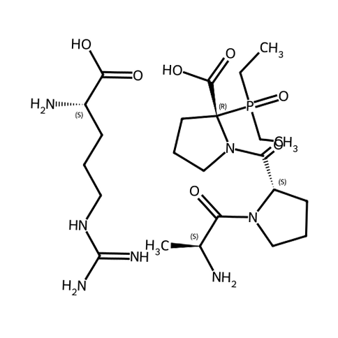 CCP(=O)(CC)[C@@]1(C(=O)O)CCCN1C(=O)[C@@H]1CCCN1C(=O)[C@H](C)N.N=C(N)NCCC[C@H](N)C(=O)O